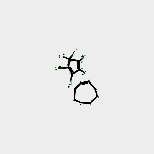 C1=CCCCCCC1.ClC1=C(Cl)C(Cl)(Cl)C(Cl)=C1Cl